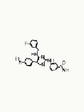 CCOc1ccc(-c2cnc(Nc3cccc([SH](=N)=O)c3)nc2NCc2cccc(F)c2)cc1